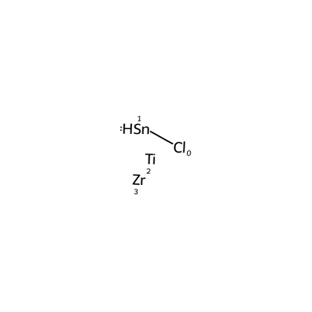 [Cl][SnH].[Ti].[Zr]